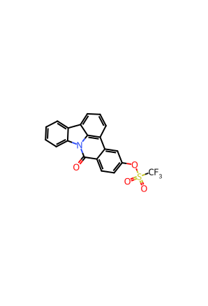 O=c1c2ccc(OS(=O)(=O)C(F)(F)F)cc2c2cccc3c4ccccc4n1c23